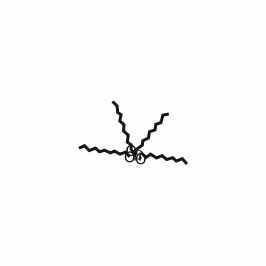 CCCCCCCCCC[O][Ti](=[O])([CH2]CCCCCCCCC)([CH2]CCCCCCCCC)[O]CCCCCCCCCC